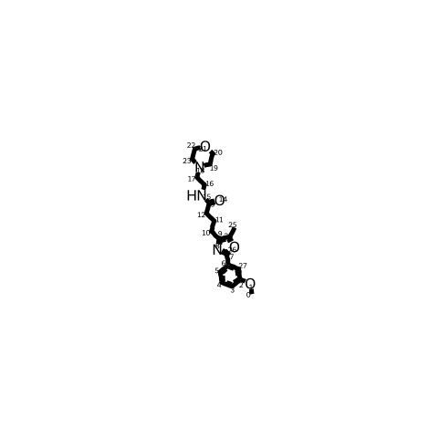 COc1cccc(-c2nc(CCCC(=O)NCCN3CCOCC3)c(C)o2)c1